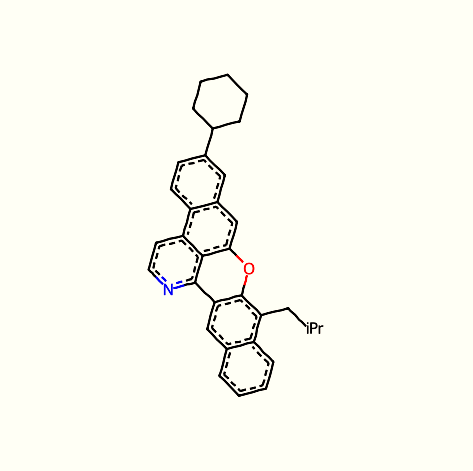 CC(C)Cc1c2c(cc3ccccc13)-c1nccc3c1c(cc1cc(C4CCCCC4)ccc13)O2